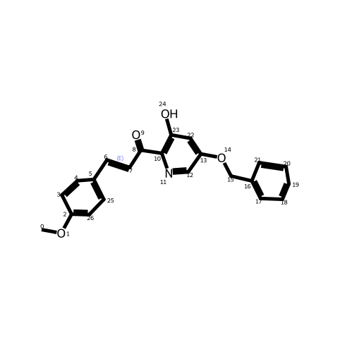 COc1ccc(/C=C/C(=O)c2ncc(OCc3ccccc3)cc2O)cc1